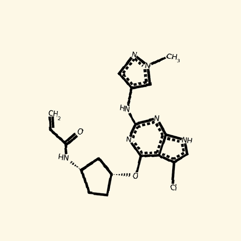 C=CC(=O)N[C@H]1CC[C@@H](Oc2nc(Nc3cnn(C)c3)nc3[nH]cc(Cl)c23)C1